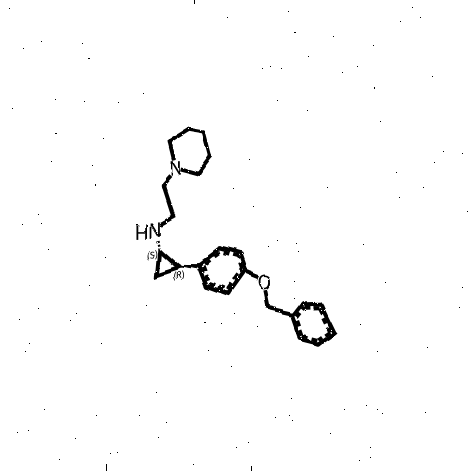 c1ccc(COc2ccc([C@H]3C[C@@H]3NCCN3CCCCC3)cc2)cc1